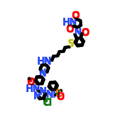 COc1cc(N2CCC(NCCCCCCCSc3cccc4c3CN(C3CCC(=O)NC3=O)C4=O)CC2)ccc1Nc1ncc(Cl)c(Nc2ccccc2P(C)(C)=O)n1